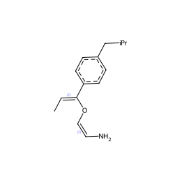 C/C=C(\O/C=C\N)c1ccc(CC(C)C)cc1